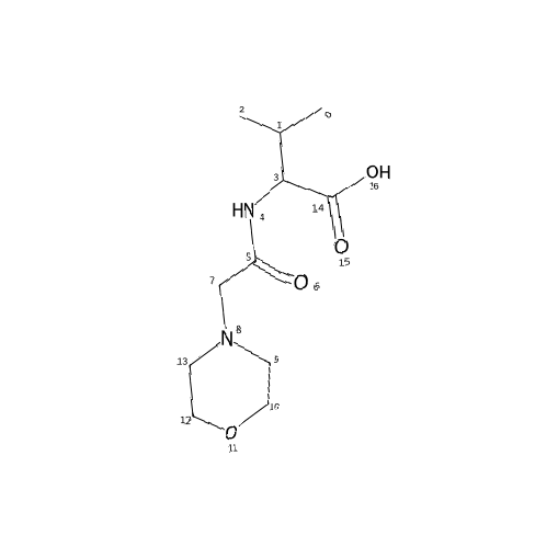 CC(C)C(NC(=O)CN1CCOCC1)C(=O)O